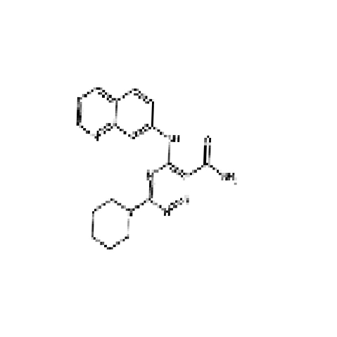 NC(=O)c1nnc(N2CCCCC2)nc1Nc1ccc2cccnc2c1